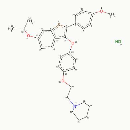 COc1ccc(-c2sc3cc(OC(C)C)ccc3c2Oc2ccc(OCCN3CCCCC3)cc2)cc1.Cl